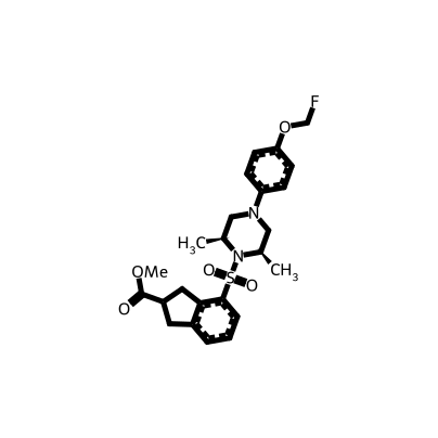 COC(=O)C1Cc2cccc(S(=O)(=O)N3[C@H](C)CN(c4ccc(OCF)cc4)C[C@@H]3C)c2C1